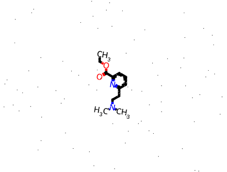 CCOC(=O)c1cccc(CCN(C)C)n1